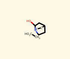 CC(=O)O.OC1CC2CCN1CC2